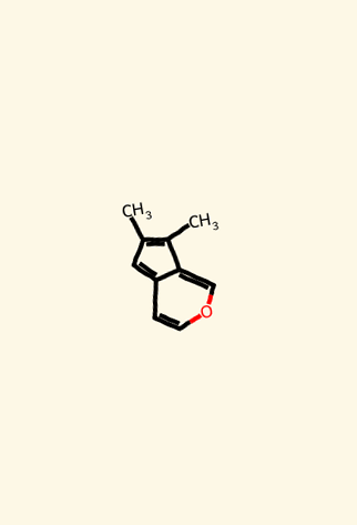 Cc1cc2ccocc-2c1C